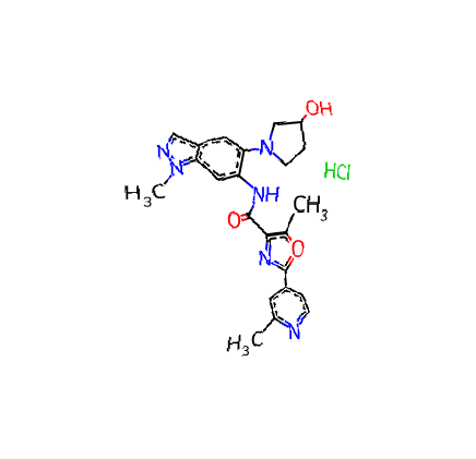 Cc1cc(-c2nc(C(=O)Nc3cc4c(cnn4C)cc3N3CCC(O)C3)c(C)o2)ccn1.Cl